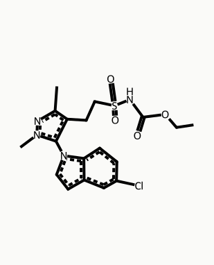 CCOC(=O)NS(=O)(=O)CCc1c(C)nn(C)c1-n1ccc2cc(Cl)ccc21